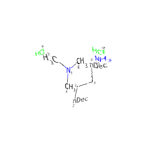 CCCCCCCCCCCCCCCCCCCCCC.CN(C)C.Cl.Cl.N